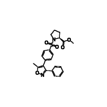 COC(=O)[C@@H]1CCCN1S(=O)(=O)c1ccc(-c2c(-c3ccccc3)noc2C)cc1